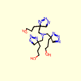 OCCCC1(CN(CC2(CCCO)C=NN=N2)CC2(CCCO)C=NN=N2)C=NN=N1